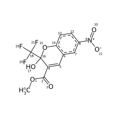 COC(=O)C1=Cc2cc([N+](=O)[O-])ccc2OC1(O)C(F)(F)F